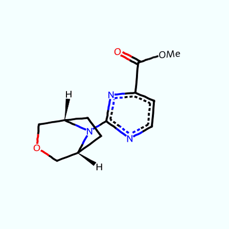 COC(=O)c1ccnc(N2[C@@H]3CC[C@H]2COC3)n1